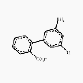 Nc1cc(Cl)cc(-c2ccccc2C(=O)O)c1